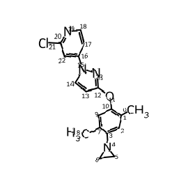 Cc1cc(N2CC2)c(C)cc1Oc1ccn(-c2ccnc(Cl)c2)n1